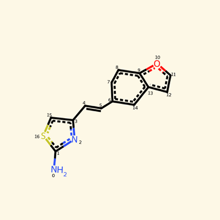 Nc1nc(C=Cc2ccc3occc3c2)cs1